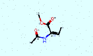 C/C=C(/NC(C)=O)C(=O)OC